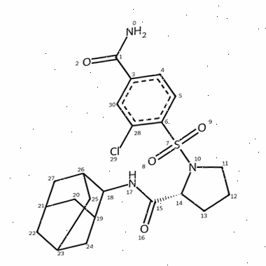 NC(=O)c1ccc(S(=O)(=O)N2CCC[C@@H]2C(=O)NC2C3CC4CC(C3)CC2C4)c(Cl)c1